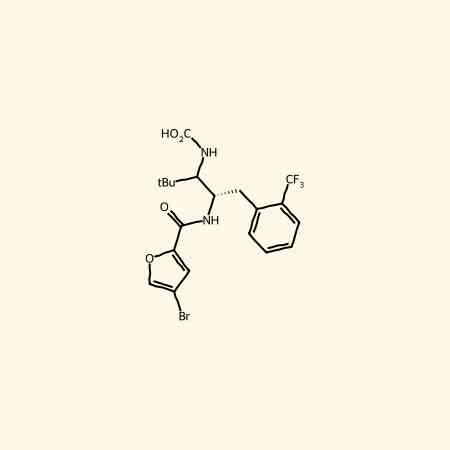 CC(C)(C)C(NC(=O)O)[C@H](Cc1ccccc1C(F)(F)F)NC(=O)c1cc(Br)co1